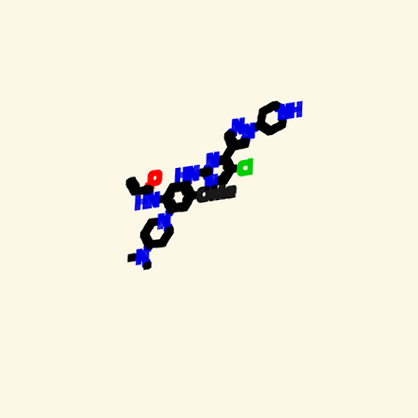 C=CC(=O)Nc1cc(Nc2ncc(Cl)c(-c3cnn(C4CCNCC4)c3)n2)c(OC)cc1N1CCC(N(C)C)CC1